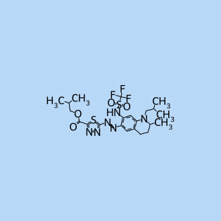 CC(C)COC(=O)c1nnc(N=Nc2cc3c(cc2NS(=O)(=O)C(F)(F)F)N(CC(C)C)C(C)CC3)s1